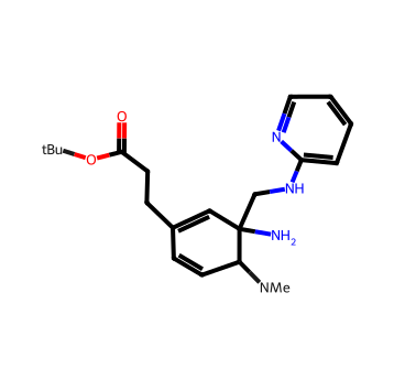 CNC1C=CC(CCC(=O)OC(C)(C)C)=CC1(N)CNc1ccccn1